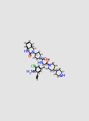 C#Cc1cc(C[C@@H](NC(=O)N2CCC(N3Cc4ccccc4NC3=O)CC2)C(=O)N2CCC(C3CCNCC3)CC2)cc(Cl)c1N